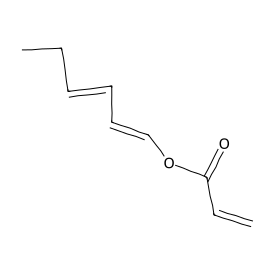 C=CC(=O)OC=CC=CCC